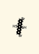 Sc1c2cc3ccc(Br)cc3cc2c(S)c2cc3cc(Br)ccc3cc12